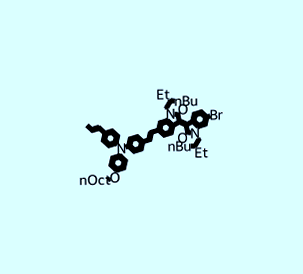 C/C=C/c1ccc(N(c2ccc(/C=C/c3ccc4c(c3)N(CC(CC)CCCC)C(=O)/C4=C3/C(=O)N(CC(CC)CCCC)c4cc(Br)ccc43)cc2)c2ccc(OCCCCCCCC)cc2)cc1